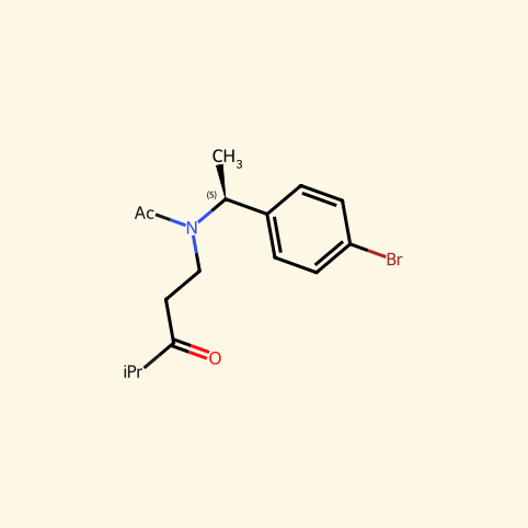 CC(=O)N(CCC(=O)C(C)C)[C@@H](C)c1ccc(Br)cc1